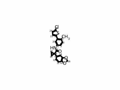 Cc1ccc(NC(=O)C2(c3ccc4c(c3)OCO4)CC2)cc1-c1ccc(Cl)s1